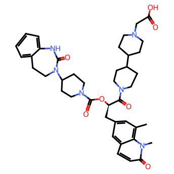 Cc1cc(C[C@@H](OC(=O)N2CCC(N3CCc4ccccc4NC3=O)CC2)C(=O)N2CCC(C3CCN(CC(=O)O)CC3)CC2)cc2ccc(=O)n(C)c12